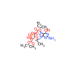 CC(C)OC(=O)OCC(COC(=O)OC(C)C)(OC1(Cn2cnc3c(O)nc(N)nc32)CC1C)P(=O)(O)O